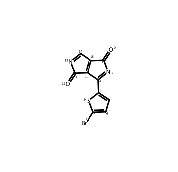 O=c1nc(-c2ccc(Br)s2)c2c(=O)ncc1=2